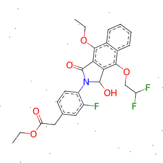 CCOC(=O)Cc1ccc(N2C(=O)c3c(c(OCC(F)F)c4ccccc4c3OCC)C2O)c(F)c1